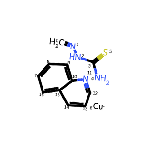 C=NNC(N)=S.[Cu].c1ccc2ncccc2c1